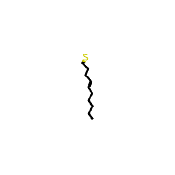 CCCCC/C=C/CCC=S